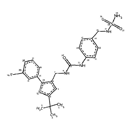 CC(C)(C)c1cc(CNC(=O)Nc2ccc(CNS(N)(=O)=O)cc2)n(-c2cccc(F)c2)n1